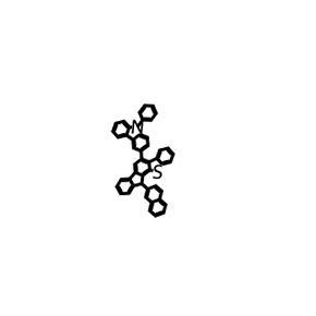 c1ccc(-n2c3ccccc3c3cc(-c4cc5c(c6sc7ccccc7c46)C(c4ccc6ccccc6c4)c4ccccc4-5)ccc32)cc1